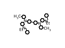 CCN(Cc1ccccc1)c1cccc(N(c2ccc(-c3ccc(N(c4cccc(C)c4)c4cccc(N(CC)Cc5ccccc5)c4)cc3)cc2)c2cccc(C)c2)c1